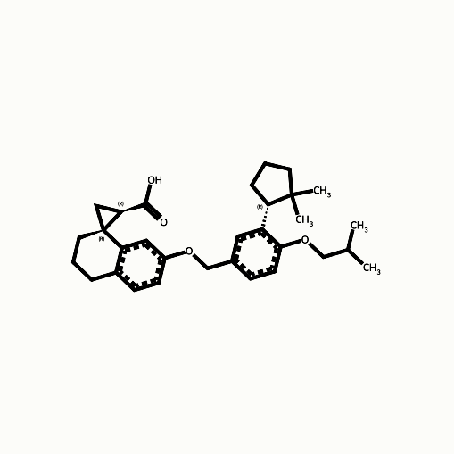 CC(C)COc1ccc(COc2ccc3c(c2)[C@]2(CCC3)C[C@H]2C(=O)O)cc1[C@@H]1CCCC1(C)C